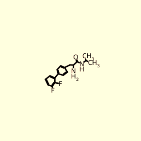 CC(C)NC(=O)C(N)Cc1ccc(-c2cccc(F)c2F)cc1